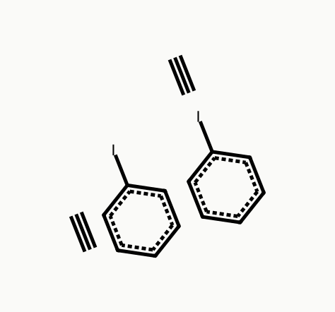 C#C.C#C.Ic1ccccc1.Ic1ccccc1